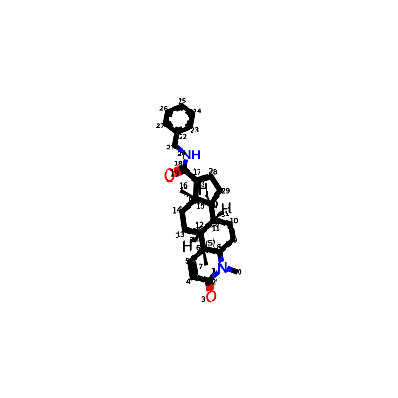 CN1C(=O)C=C[C@@]2(C)C1CC[C@@H]1[C@H]2CC[C@]2(C)C(C(=O)NCc3ccccc3)CC[C@@H]12